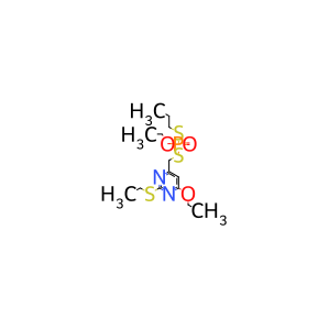 CCCSP(=O)(OCC)SCc1cc(OCC)nc(SCC)n1